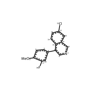 COc1ccc(-c2cncc3cc(Cl)ccc23)cc1F